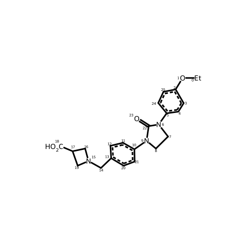 CCOc1ccc(N2CCN(c3ccc(CN4CC(C(=O)O)C4)cc3)C2=O)cc1